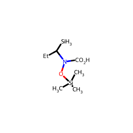 CCC([SiH3])N(O[Si](C)(C)C)C(=O)O